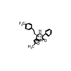 CNC(=O)[C@@H](N[C@H](CCc1ccc(C(F)(F)F)cc1)c1cc(C)on1)c1ccccc1